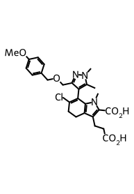 COc1ccc(COCc2nn(C)c(C)c2C2=C(Cl)CCc3c(CCC(=O)O)c(C(=O)O)n(C)c32)cc1